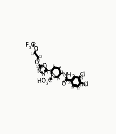 O=C(N[C@H]1CC[C@H](c2nnc(OCCOC(F)(F)F)o2)N(C(=O)O)C1)c1ccc(Cl)c(Cl)c1